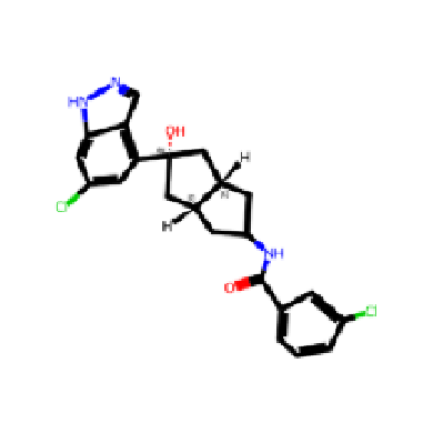 O=C(NC1C[C@@H]2C[C@@](O)(c3cc(Cl)cc4[nH]ncc34)C[C@@H]2C1)c1cccc(Cl)c1